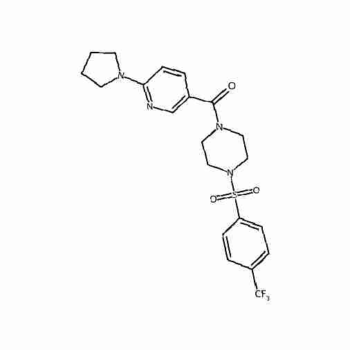 O=C(c1ccc(N2CCCC2)nc1)N1CCN(S(=O)(=O)c2ccc(C(F)(F)F)cc2)CC1